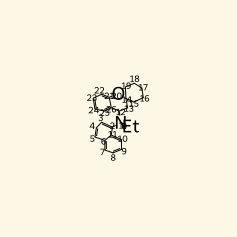 CCN(c1cccc2ccccc12)C1CC2(CCCCC2)Oc2ccccc21